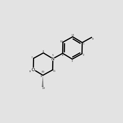 Cc1ccc(N2CCO[C@@H](C)C2)cc1